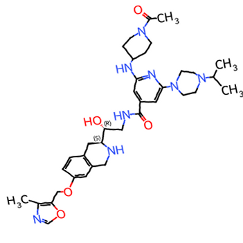 CC(=O)N1CCC(Nc2cc(C(=O)NC[C@@H](O)[C@@H]3Cc4ccc(OCc5ocnc5C)cc4CN3)cc(N3CCN(C(C)C)CC3)n2)CC1